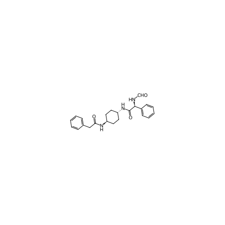 O=CN[C@H](C(=O)N[C@H]1CC[C@H](NC(=O)Cc2ccccc2)CC1)c1ccccc1